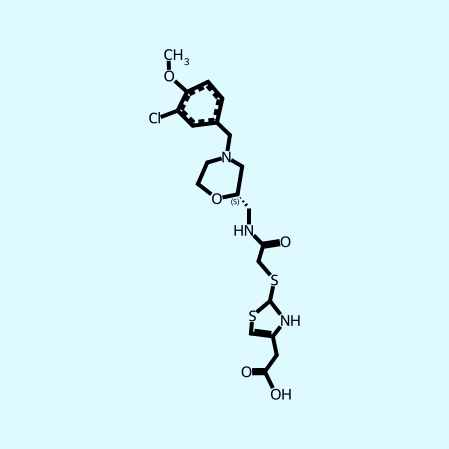 COc1ccc(CN2CCO[C@@H](CNC(=O)CSC3NC(CC(=O)O)=CS3)C2)cc1Cl